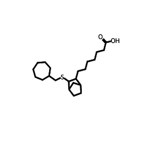 O=C(O)CCCCCCC1C2CCC(C2)C1SCC1CCCCCC1